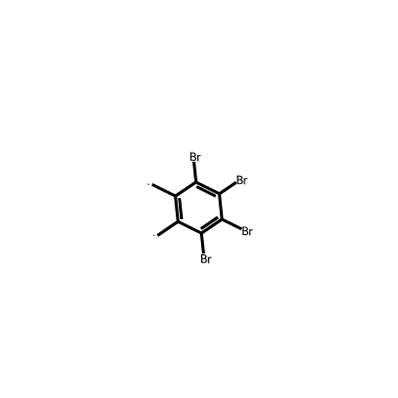 [CH2]c1c([CH2])c(Br)c(Br)c(Br)c1Br